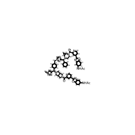 CC(=O)Nc1ccc2oc(-c3ccnc(C(=O)N4CC5CN(C(c6ccc(Cn7nnc(C(c8ccccc8)N8CCN(C(=O)c9cc(-c%10nc%11cc(NC(C)=O)ccc%11o%10)ccn9)C9CC98)n7)cc6)c6nnn(C)n6)CC5C4)c3)nc2c1